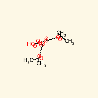 CCCCCC(CCC)C(=O)OCCCCCCCC(=O)OC[C@H](COC(=O)CCC(=O)O)OC(=O)CCCCCCCOC(=O)C(CCC)CCCCC